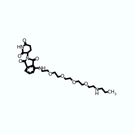 CCCNCCOCCOCCOCCOCCNc1cccc2c1C(=O)N(C1CCC(=O)NC1=O)C2=O